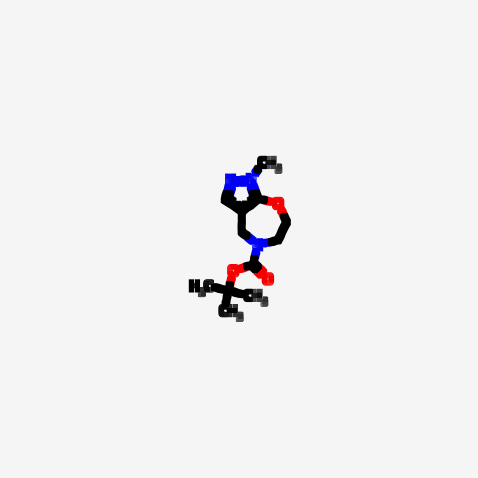 Cn1ncc2c1OCCN(C(=O)OC(C)(C)C)C2